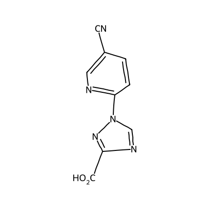 N#Cc1ccc(-n2cnc(C(=O)O)n2)nc1